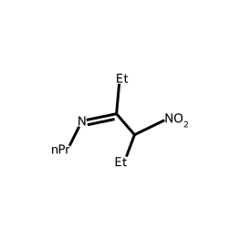 CCC/N=C(/CC)C(CC)[N+](=O)[O-]